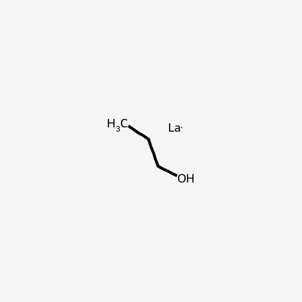 CCCO.[La]